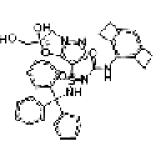 O=C(N=[S@@](=O)(NC(c1ccccc1)(c1ccccc1)c1ccccc1)c1cnn2c1O[C@](O)(CO)C2)Nc1c2c(cc3c1CC3)CC2